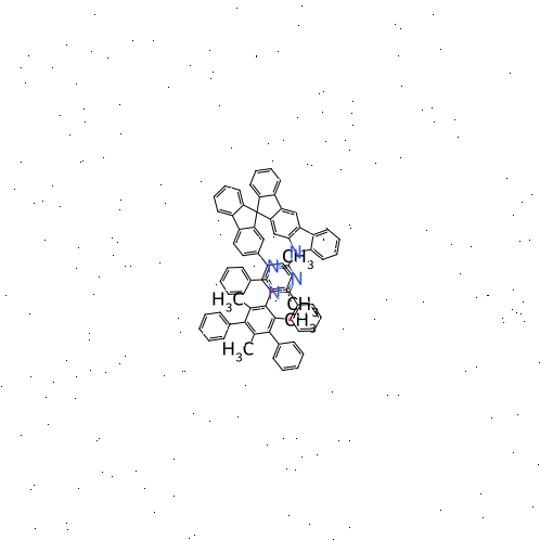 Cc1cc(C)c(-c2c(C)c(-c3ccccc3)c(C)c(-c3ccccc3)c2C)cc1-c1ccc2c(c1)C1(c3ccccc3-2)c2ccccc2-c2cc3c4ccccc4n(-c4nc(-c5ccccc5)nc(-c5ccccc5)n4)c3cc21